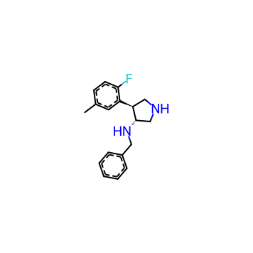 Cc1ccc(F)c([C@H]2CNC[C@@H]2NCc2ccccc2)c1